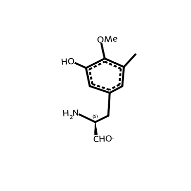 COc1c(C)cc(C[C@H](N)[C]=O)cc1O